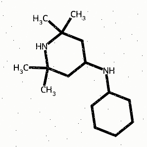 CC1(C)CC(NC2CCCCC2)CC(C)(C)N1